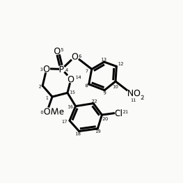 COC1COP(=O)(Oc2ccc([N+](=O)[O-])cc2)OC1c1cccc(Cl)c1